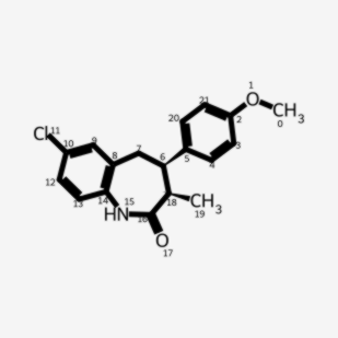 COc1ccc([C@@H]2Cc3cc(Cl)ccc3NC(=O)[C@@H]2C)cc1